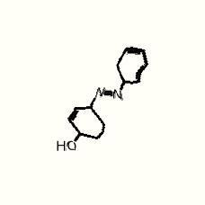 OC1C=CC(N=NC2C=CC=CC2)CC1